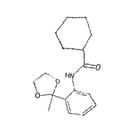 CC1(c2ccccc2NC(=O)C2CCCCC2)OCCO1